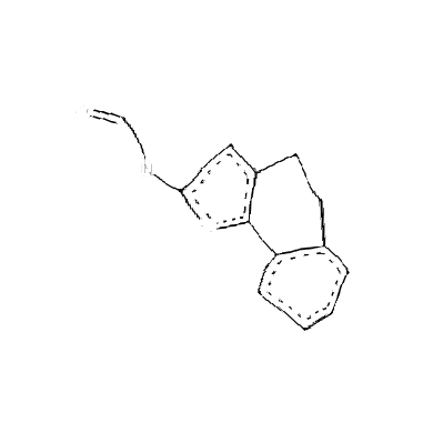 O=CNc1cc2c(s1)-c1ccccc1CC2